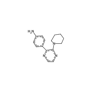 Nc1ccc(-c2nccnc2N2CCCCC2)cc1